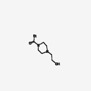 [CH2]CC(=O)N1CCN(CCO)CC1